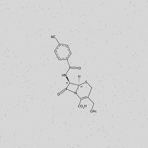 CC(=O)OCC1=C(C(=O)O)N2C(=O)[C@@H](NC(=O)c3ccc(C#N)cc3)[C@H]2SC1